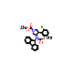 COC(=O)N(C1c2ccccc2-c2ccccc21)C1CN(C(=O)OC(C)(C)C)CC1c1ccccc1F